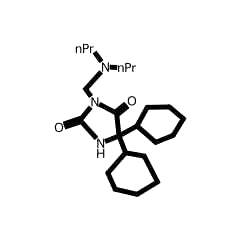 CCCN(CCC)CN1C(=O)NC(C2CCCCC2)(C2CCCCC2)C1=O